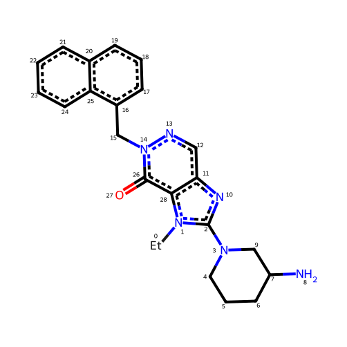 CCn1c(N2CCCC(N)C2)nc2cnn(Cc3cccc4ccccc34)c(=O)c21